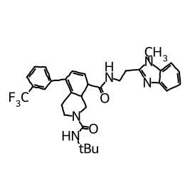 Cn1c(CCNC(=O)C2C=CC(c3cccc(C(F)(F)F)c3)=C3CCN(C(=O)NC(C)(C)C)CC32)nc2ccccc21